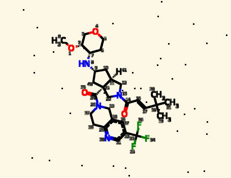 CO[C@@H]1COCC[C@@H]1N[C@@H]1C[C@H]2CN(C(=O)C=CC(C)(C)C)C[C@@]2(C(=O)N2CCc3ncc(C(F)(F)F)cc3C2)C1